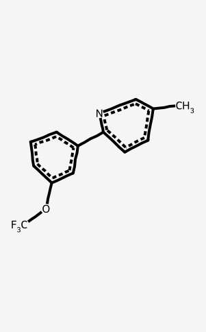 Cc1ccc(-c2cccc(OC(F)(F)F)c2)nc1